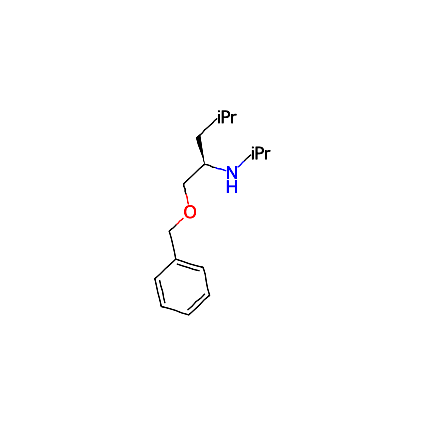 CC(C)C[C@H](COCc1ccccc1)NC(C)C